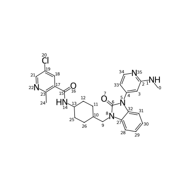 CNc1cc(-n2c(=O)n(CC3CCC(NC(=O)c4cc(Cl)cnc4C)CC3)c3ccccc32)ccn1